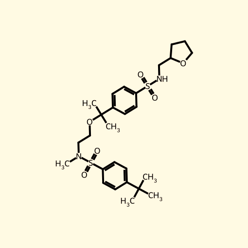 CN(CCOC(C)(C)c1ccc(S(=O)(=O)NCC2CCCO2)cc1)S(=O)(=O)c1ccc(C(C)(C)C)cc1